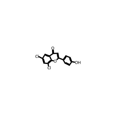 O=c1cc(-c2ccc(O)cc2)oc2c(Cl)cc(Cl)cc12